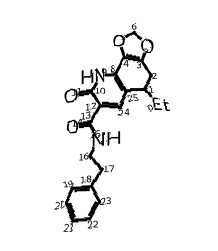 CCC1CC2=C(OCO2)c2[nH]c(=O)c(C(=O)NCCc3ccccc3)cc21